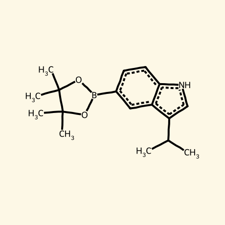 CC(C)c1c[nH]c2ccc(B3OC(C)(C)C(C)(C)O3)cc12